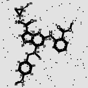 COC(=O)c1ccccc1Nc1cc(N(C)Cc2ccc(OC)cc2)c2ncc(C(=O)N[C@@H]3C[C@@H]3F)n2n1